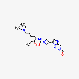 CCC(=O)C(CCCCN(CC)CC)NC(=O)N1CC(c2cnc(CNC=O)[nH]2)C1